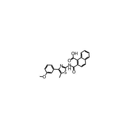 COc1cccc(-c2nc(NC(=O)c3ccc4ccccc4c3C(=O)O)sc2C)c1